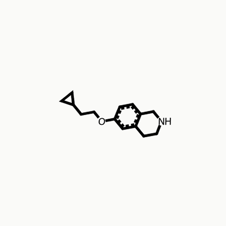 c1cc2c(cc1OCCC1CC1)CCNC2